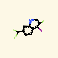 Fc1cnc2cc(C(F)F)ccc2c1I